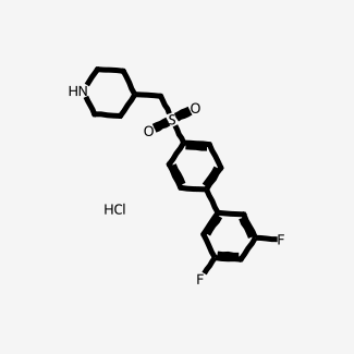 Cl.O=S(=O)(CC1CCNCC1)c1ccc(-c2cc(F)cc(F)c2)cc1